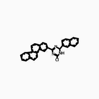 ClC1=NC(c2ccc3ccc4c5ccccc5ccc4c3c2)=NC(c2ccc3ccccc3c2)N1